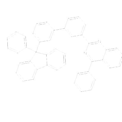 c1ccc(-c2nc(-c3cccc(-c4cccc(C5(c6ccccc6)c6ccccc6-c6ccccc65)c4)c3)nc3ccccc23)cc1